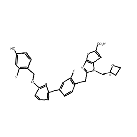 N#Cc1ccc(COc2cccc(-c3ccc(Cc4nc5sc(C(=O)O)cc5n4C[C@@H]4CCO4)c(F)c3)n2)c(F)c1